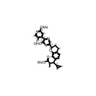 COC(=O)C(C)C(c1ccc2c(c1)OC(c1cnc(-c3cc(OC)ncc3F)c(C=O)n1)CC2)C1CC1